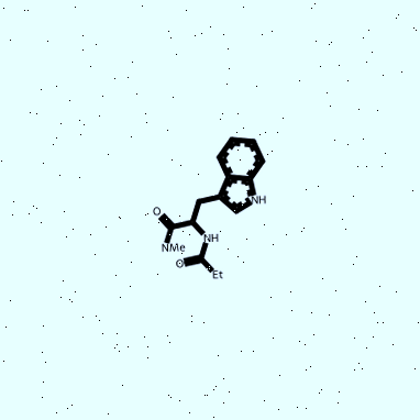 CCC(=O)NC(Cc1c[nH]c2ccccc12)C(=O)NC